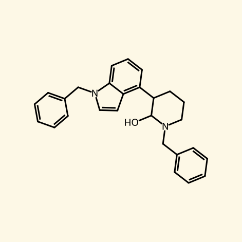 OC1C(c2cccc3c2ccn3Cc2ccccc2)CCCN1Cc1ccccc1